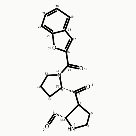 O=C[C@H]1NCCC1C(=O)[C@@H]1CCCN1C(=O)c1cc2ccccc2o1